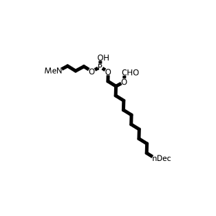 CCCCCCCCCCCCCCCCCCCC(COP(O)OCCCNC)OC=O